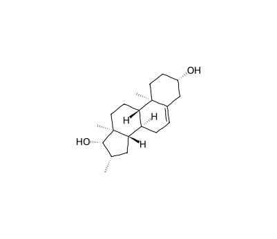 C[C@H]1C[C@H]2[C@@H]3CC=C4C[C@@H](O)CC[C@]4(C)[C@H]3CC[C@]2(C)[C@H]1O